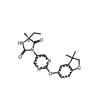 CC[C@@]1(C)NC(=O)N(c2cnc(Oc3ccc4c(c3)C(C)(C)CO4)nc2)C1=O